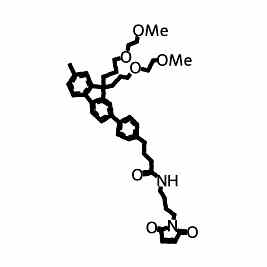 COCCOCCCC1(CCCOCCOC)c2cc(C)ccc2-c2ccc(-c3ccc(CCCC(=O)NCCCCN4C(=O)C=CC4=O)cc3)cc21